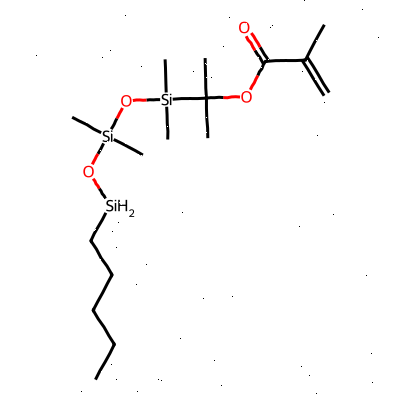 C=C(C)C(=O)OC(C)(C)[Si](C)(C)O[Si](C)(C)O[SiH2]CCCCC